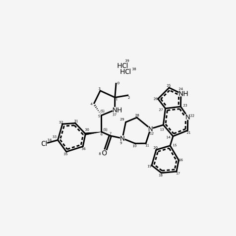 CC1(C)CC[C@@H]([C@@H](C(=O)N2CCN(c3c(-c4ccccc4)cnc4[nH]ccc34)CC2)c2ccc(Cl)cc2)N1.Cl.Cl